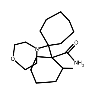 CC1CCCCC1(C(N)=O)C1(N2CCOCC2)CCCCCC1